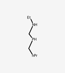 CCCCPCNCC